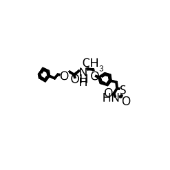 CC(COc1ccc(CC2SC(=O)NC2=O)cc1)NCC(O)COCCc1ccccc1